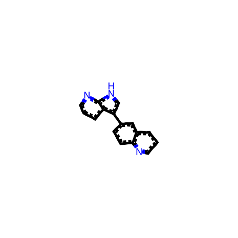 c1cnc2ccc(-c3c[nH]c4ncccc34)cc2c1